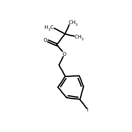 CC(C)(C)C(=O)OCc1ccc(I)cc1